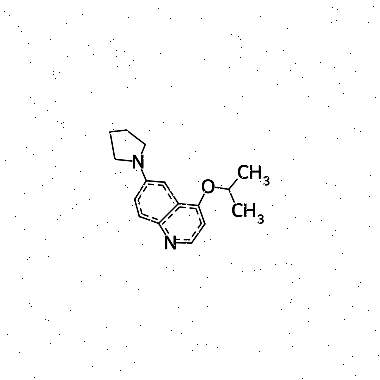 CC(C)Oc1ccnc2ccc(N3CCCC3)cc12